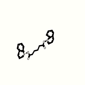 O=C(CCCCC(=O)O[n+]1cccc2ccccc21)O[n+]1cccc2ccccc21